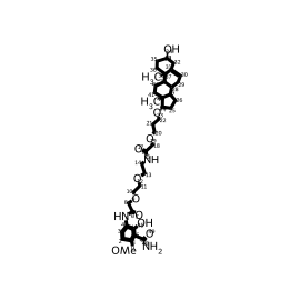 COc1ccc(NC(=O)COCCOCCNC(=O)COCCCO[C@@H]2CCC3C4CC=C5C[C@H](O)CC[C@@]5(C)C4CC[C@]32C)c(O)c1C(N)=O